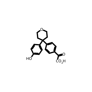 O=C(O)C(=O)c1ccc(C2(c3ccc(O)cc3)CCOCC2)cc1